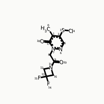 Cc1c(SCl)cnn(CC(=O)N2CC(F)(F)C2)c1=O